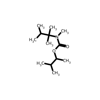 CC(C)C(C)OC(=O)N(C)C(C)(C)C(C)C